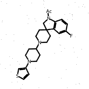 CC(=O)N1CC2(CCN(C3CCN(c4ccsc4)CC3)CC2)c2cc(F)ccc21